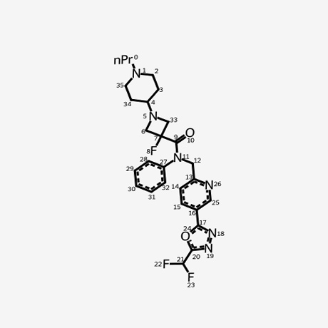 CCCN1CCC(N2CC(F)(C(=O)N(Cc3ccc(-c4nnc(C(F)F)o4)cn3)c3ccccc3)C2)CC1